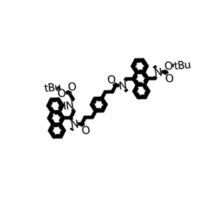 CN(Cc1c2ccccc2c(CN(C)C(=O)OC(C)(C)C)c2ccccc12)C(=O)CCc1ccc(CCC(=O)N(C)C(CNCC(=O)OC(C)(C)C)c2c3ccccc3cc3ccccc23)cc1